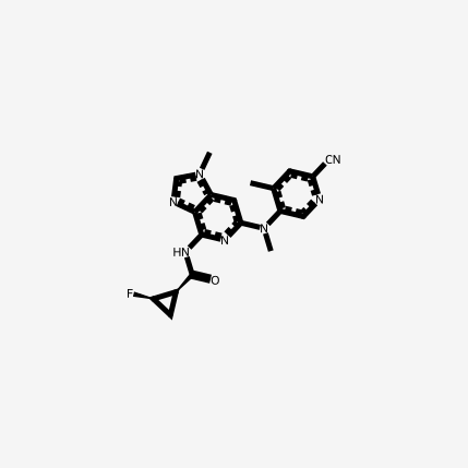 Cc1cc(C#N)ncc1N(C)c1cc2c(ncn2C)c(NC(=O)[C@H]2C[C@H]2F)n1